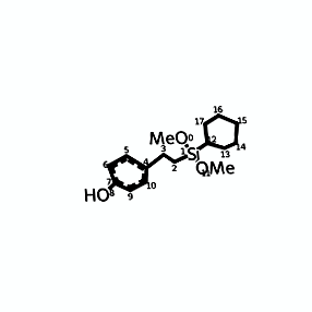 CO[Si](CCc1ccc(O)cc1)(OC)C1CCCCC1